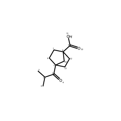 CC(C)C(=O)C12CCC(C(=O)O)(CC1)C2